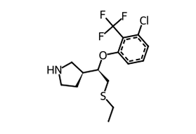 CCSC[C@H](Oc1cccc(Cl)c1C(F)(F)F)[C@H]1CCNC1